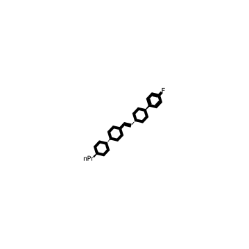 CCC[C@H]1CC[C@H](C2CCC(/C=C/[C@H]3CC[C@H](c4ccc(F)cc4)CC3)CC2)CC1